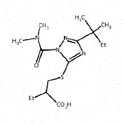 CCC(CSc1nc(C(C)(C)CC)nn1C(=O)N(C)C)C(=O)O